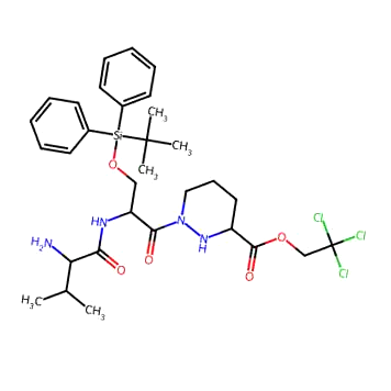 CC(C)C(N)C(=O)NC(CO[Si](c1ccccc1)(c1ccccc1)C(C)(C)C)C(=O)N1CCCC(C(=O)OCC(Cl)(Cl)Cl)N1